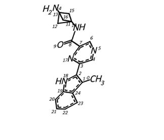 Cc1c(-c2cncc(C(=O)NC34CC(N)(C3)C4)n2)[nH]c2ccccc12